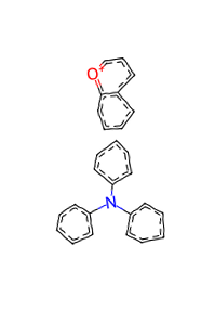 c1ccc(N(c2ccccc2)c2ccccc2)cc1.c1ccc2[o+]cccc2c1